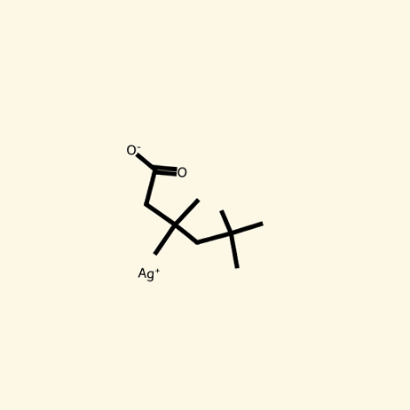 CC(C)(C)CC(C)(C)CC(=O)[O-].[Ag+]